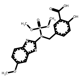 COc1ccc2nc(N(Cc3ccc(O)c(C(=O)O)c3)P(=O)(OC)OC)sc2c1